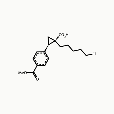 COC(=O)c1ccc([C@H]2C[C@@]2(CCCCCCl)C(=O)O)cc1